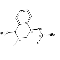 C[C@H]1C[C@H](N[S@@+]([O-])C(C)(C)C)c2ccccc2N1C(=O)O